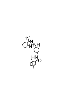 Cc1cc(C(=O)NCC2CCC(Nc3nc4c(c(N(C)C)n3)CCCC4)CC2)c(C)o1